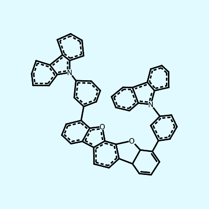 C1=CC2c3ccc4c(oc5c(-c6cccc(-n7c8ccccc8c8ccccc87)c6)cccc54)c3OC2C(c2cccc(-n3c4ccccc4c4ccccc43)c2)=C1